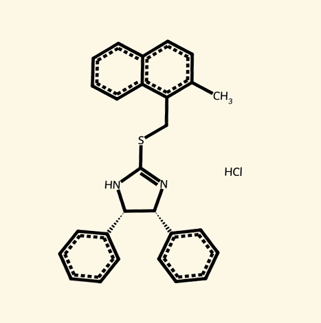 Cc1ccc2ccccc2c1CSC1=N[C@H](c2ccccc2)[C@H](c2ccccc2)N1.Cl